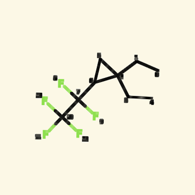 CCC1(CC)CC1C(F)(F)C(F)(F)F